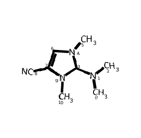 CN(C)C1N(C)C=C(C#N)N1C